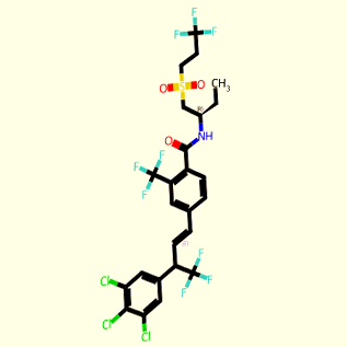 CC[C@H](CS(=O)(=O)CCC(F)(F)F)NC(=O)c1ccc(/C=C/C(c2cc(Cl)c(Cl)c(Cl)c2)C(F)(F)F)cc1C(F)(F)F